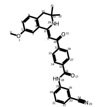 COc1ccc2c(c1)C(=CC(=O)c1ccc(C(=O)Nc3cccc(C#N)c3)cc1)NC(C)(C)C2